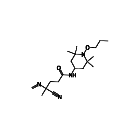 C=NC(C)(C#N)CCC(=O)NC1CC(C)(C)N(OCCC)C(C)(C)C1